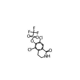 O=C1NCCc2c1cc(Cl)c(OS(=O)(=O)C(F)(F)F)c2Cl